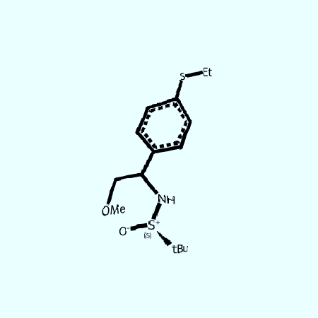 CCSc1ccc(C(COC)N[S@+]([O-])C(C)(C)C)cc1